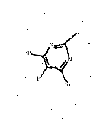 [2H]c1nc(C)nc([2H])c1Br